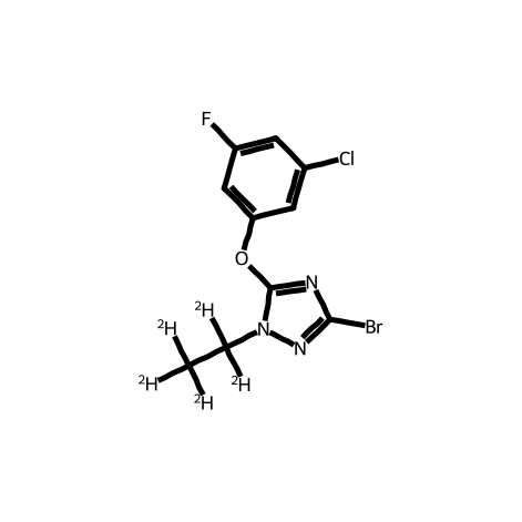 [2H]C([2H])([2H])C([2H])([2H])n1nc(Br)nc1Oc1cc(F)cc(Cl)c1